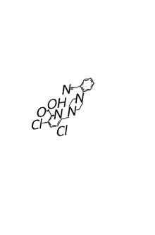 N#Cc1ccccc1N1CCN(Cc2nc(C(=O)O)c(Cl)cc2Cl)CC1